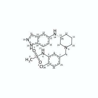 CS(=O)(=O)Nc1cc(CN2CCC[C@@H](Nc3ccc4[nH]ncc4c3)C2)ccc1Cl